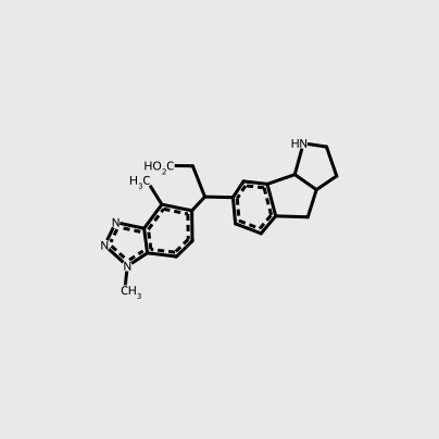 Cc1c(C(CC(=O)O)c2ccc3c(c2)C2NCCC2C3)ccc2c1nnn2C